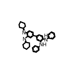 c1ccc(Nc2ccc(-c3ccc(N=C4CCCCC4)c(N=C4CCCCC4)c3)cc2Nc2ccccc2)cc1